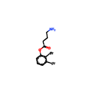 CC(C)c1cccc(OC(=O)CCCN)c1C(C)C